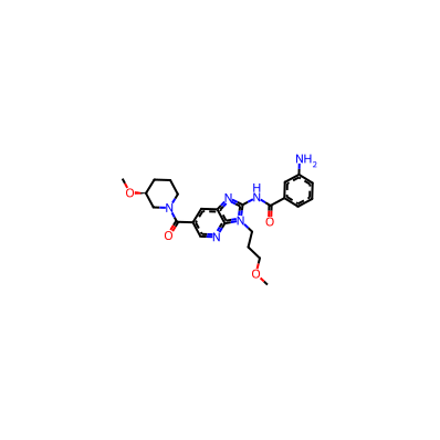 COCCCn1c(NC(=O)c2cccc(N)c2)nc2cc(C(=O)N3CCC[C@H](OC)C3)cnc21